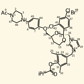 CC(=O)N1CCN(c2ccc(OC[C@@H]3CCO[C@](Cn4cc[n+](Cc5cc(C)c(OC(=O)C(C)C)c(C)c5)c4)(c4ccc(Cl)cc4Cl)O3)cc2)CC1.[Br-]